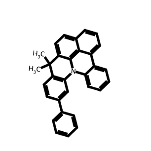 CC1(C)c2ccc(-c3ccccc3)cc2N2c3ccccc3-c3cccc4ccc1c2c34